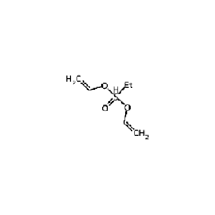 C=CO[SH](=O)(CC)OC=C